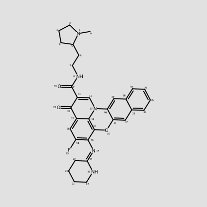 CN1CCCC1CCNC(=O)c1cn2c3c(c(/N=C4\CCCCN4)c(F)cc3c1=O)Oc1cc3ccccc3cc1-2